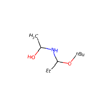 CCCCOC(CC)NC(C)O